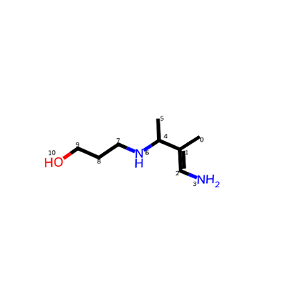 C/C(=C\N)C(C)NCCCO